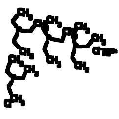 CCP(CC)CC.CCP(CC)CC.CCP(CC)CC.CCP(CC)CC.[Cl-].[Cl-].[Ni+2]